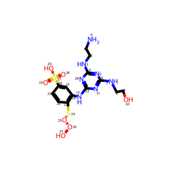 NCCNc1nc(NCCO)nc(Nc2cc(S(=O)(=O)O)ccc2SOOO)n1